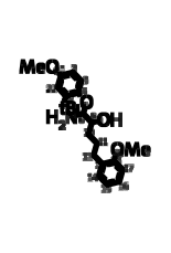 COc1ccc(OC(N)C(O)CCCc2ccccc2OC)c(C(C)(C)C)c1